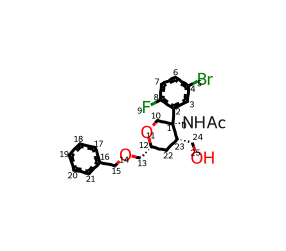 CC(=O)N[C@@]1(c2cc(Br)ccc2F)CO[C@@H](COCc2ccccc2)C[C@H]1CO